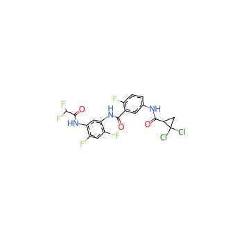 O=C(Nc1cc(NC(=O)C(F)F)c(F)cc1F)c1cc(NC(=O)C2CC2(Cl)Cl)ccc1F